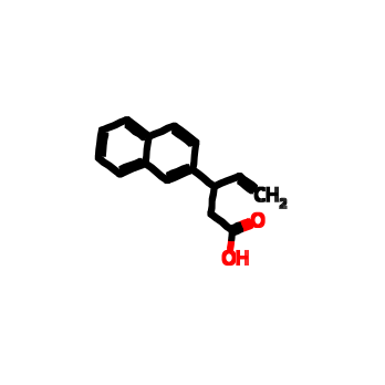 C=CC(CC(=O)O)c1ccc2ccccc2c1